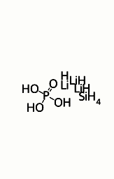 O=P(O)(O)O.[LiH].[LiH].[LiH].[SiH4]